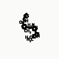 Cc1ccc(C(=O)NCc2ccsc2)cc1C#Cc1cc(-c2cnn3c2CC(C)(C)C3)cnc1N